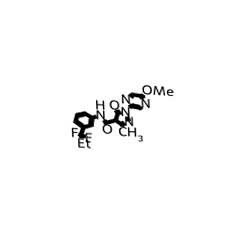 CCC(F)(F)c1cccc(NC(=O)C2C(=O)N(c3cnc(OC)cn3)N=C2C)c1